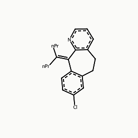 CCCC(CCC)=C1c2ccc(Cl)cc2CCc2cccnc21